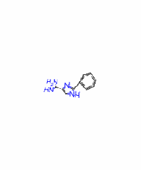 N=C(N)c1c[nH]c(-c2ccccc2)n1